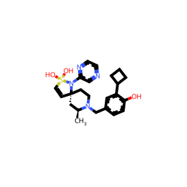 C[C@H]1C[C@@]2(C=CS(O)(O)N2c2cnccn2)CCN1Cc1ccc(O)c(C2CCC2)c1